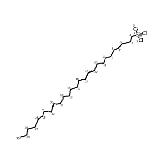 Cl[Si](Cl)(Cl)CCCCCCCCCCCCCCCCCCCCCCCCCCI